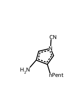 CCCCCc1cn(C#N)cc1N